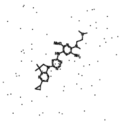 COc1nc(N(C)CCN(C)C)c(N)cc1Nc1cc(N2CC(C)(C)c3nc(C4CC4)ccc32)ncn1